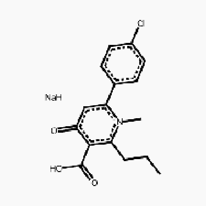 CCCc1c(C(=O)O)c(=O)cc(-c2ccc(Cl)cc2)n1C.[NaH]